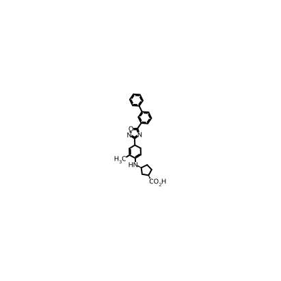 CC1=CC(c2noc(-c3cccc(-c4ccccc4)c3)n2)CC=C1N[C@H]1CC[C@@H](C(=O)O)C1